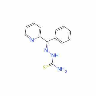 NC(=S)N/N=C(\c1ccccc1)c1ccccn1